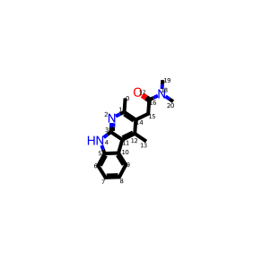 Cc1nc2[nH]c3ccccc3c2c(C)c1CC(=O)N(C)C